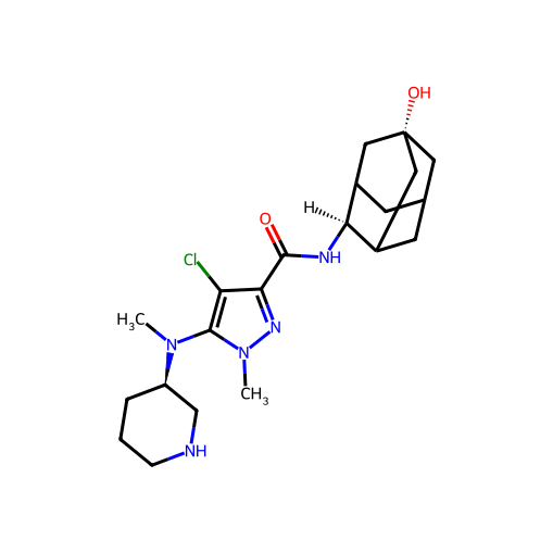 CN(c1c(Cl)c(C(=O)N[C@H]2C3CC4CC2C[C@](O)(C4)C3)nn1C)[C@@H]1CCCNC1